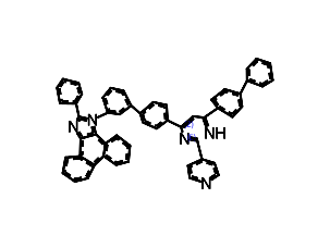 N=C(/C=C(\N=C\c1ccncc1)c1ccc(-c2cccc(-n3c(-c4ccccc4)nc4c5ccccc5c5ccccc5c43)c2)cc1)c1ccc(-c2ccccc2)cc1